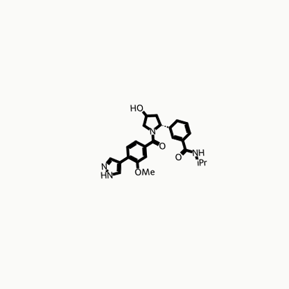 COc1cc(C(=O)N2CC(O)C[C@@H]2C2C=C(C(=O)NC(C)C)C=CC2)ccc1-c1cn[nH]c1